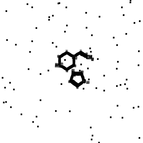 C=CN1CCNCC1.c1cocn1